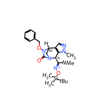 CN/C(=N\O[Si](C)(C)C(C)(C)C)[C@@H]1c2c(cnn2C)[C@@H]2CN1C(=O)N2OCc1ccccc1